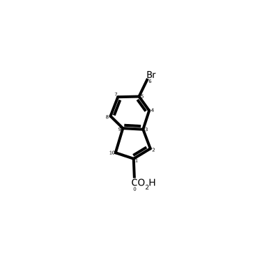 O=C(O)C1=Cc2cc(Br)ccc2C1